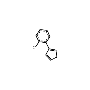 Clc1ccccc1C1=[C]CC=C1